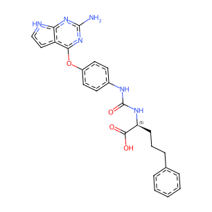 Nc1nc(Oc2ccc(NC(=O)N[C@@H](CCCc3ccccc3)C(=O)O)cc2)c2cc[nH]c2n1